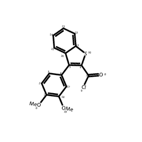 COc1ccc(-c2c(C(=O)Cl)sc3ccccc23)cc1OC